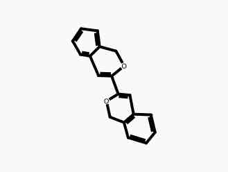 [c]1cccc2c1C=C(C1=Cc3ccccc3CO1)OC2